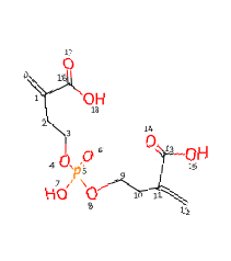 C=C(CCOP(=O)(O)OCCC(=C)C(=O)O)C(=O)O